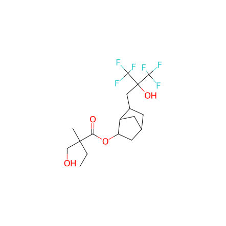 CCC(C)(CO)C(=O)OC1CC2CC(CC(O)(C(F)(F)F)C(F)(F)F)C1C2